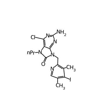 CCCn1c(=O)n(Cc2ncc(C)c(I)c2C)c2nc(N)nc(Cl)c21